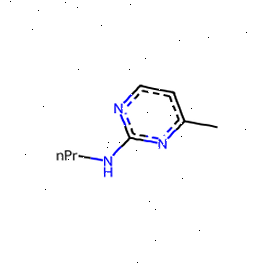 CCCNc1nccc(C)n1